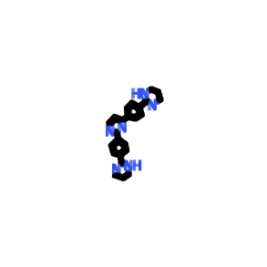 c1cc(-c2ccc(C3=NCCCN3)cc2)nc(-c2ccc(C3=NCCCN3)cc2)n1